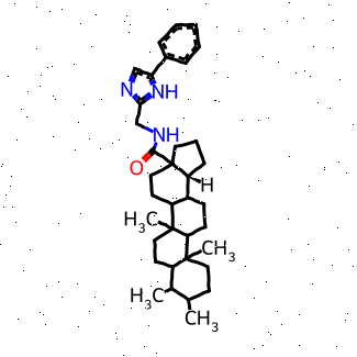 CC1CCC2(C)C(CCC3(C)C4CCC5(C(=O)NCc6ncc(-c7ccccc7)[nH]6)CCC[C@@H]5C4CCC23)C1C